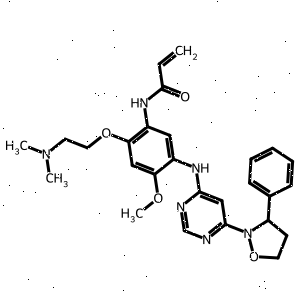 C=CC(=O)Nc1cc(Nc2cc(N3OCCC3c3ccccc3)ncn2)c(OC)cc1OCCN(C)C